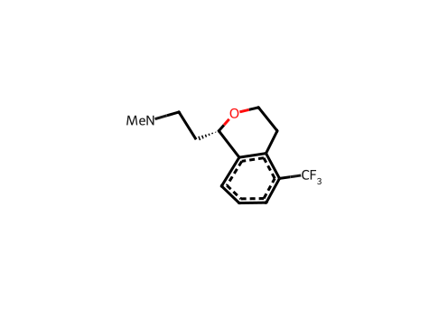 CNCC[C@@H]1OCCc2c1cccc2C(F)(F)F